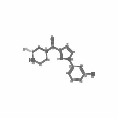 C[C@@H]1CN(C(=O)c2ncn(-c3cccc(Cl)c3)n2)CCN1